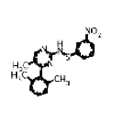 Cc1cnc(NSc2cccc([N+](=O)[O-])c2)nc1-c1c(C)cccc1C